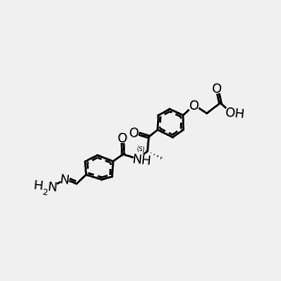 C[C@H](NC(=O)c1ccc(C=NN)cc1)C(=O)c1ccc(OCC(=O)O)cc1